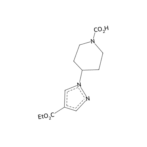 CCOC(=O)c1cnn(C2CCN(C(=O)O)CC2)c1